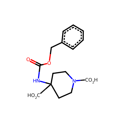 O=C(NC1(C(=O)O)CCN(C(=O)O)CC1)OCc1ccccc1